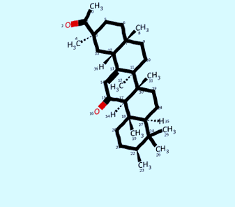 CC(=O)[C@@]1(C)CC[C@]2(C)CC[C@]3(C)C(=CC(=O)[C@@H]4[C@@]5(C)CC[C@H](C)C(C)(C)[C@@H]5CC[C@]43C)[C@@H]2C1